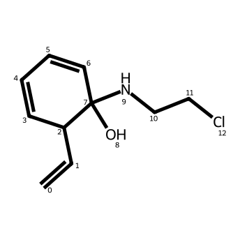 C=CC1C=CC=CC1(O)NCCCl